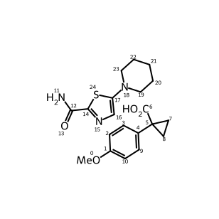 COc1ccc(C2(C(=O)O)CC2)cc1.NC(=O)c1ncc(N2CCCCC2)s1